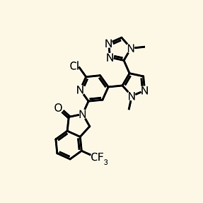 Cn1cnnc1-c1cnn(C)c1-c1cc(Cl)nc(N2Cc3c(cccc3C(F)(F)F)C2=O)c1